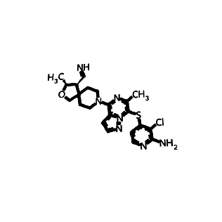 Cc1nc(N2CCC3(CC2)CO[C@@H](C)[C@H]3C=N)c2ccnn2c1Sc1ccnc(N)c1Cl